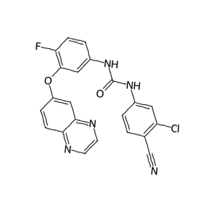 N#Cc1ccc(NC(=O)Nc2ccc(F)c(Oc3ccc4nccnc4c3)c2)cc1Cl